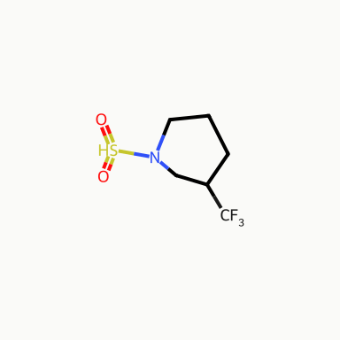 O=[SH](=O)N1CCCC(C(F)(F)F)C1